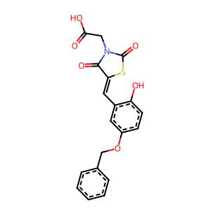 O=C(O)CN1C(=O)SC(=Cc2cc(OCc3ccccc3)ccc2O)C1=O